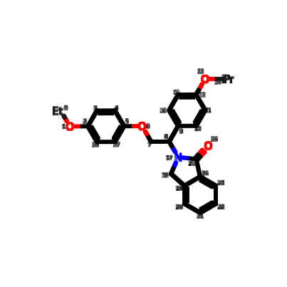 CCOc1ccc(OCC(c2ccc(OC(C)C)cc2)N2Cc3ccccc3C2=O)cc1